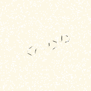 CCCCCc1ccc(CCc2ccc(-c3ccc(Cl)cc3)cc2)c(F)c1